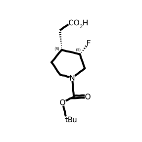 CC(C)(C)OC(=O)N1CC[C@H](CC(=O)O)[C@H](F)C1